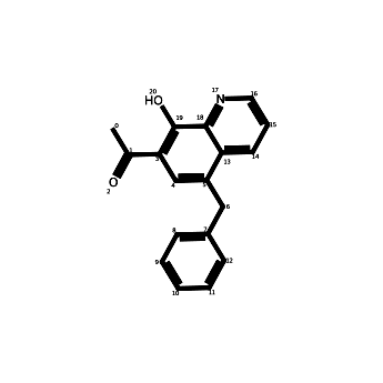 CC(=O)c1cc(Cc2ccccc2)c2cccnc2c1O